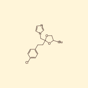 CC(C)(C)C1COC(CCc2ccc(Cl)cc2)(Cn2ccnc2)O1